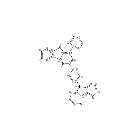 c1ccc(-c2nc(-c3ccc(-n4c5ccccc5c5ccccc54)cc3)nc3c2sc2ccccc23)cc1